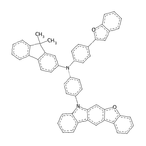 CC1(C)c2ccccc2-c2ccc(N(c3ccc(-c4cc5ccccc5o4)cc3)c3ccc(-n4c5ccccc5c5cc6c(cc54)oc4ccccc46)cc3)cc21